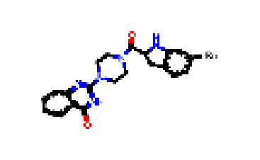 CC(C)(C)c1ccc2c(c1)NC(C(=O)N1CCN(c3nc4ccccc4c(=O)[nH]3)CC1)C2